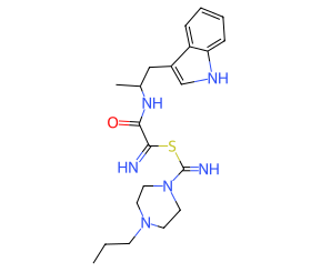 CCCN1CCN(C(=N)SC(=N)C(=O)NC(C)Cc2c[nH]c3ccccc23)CC1